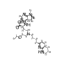 CCOCCN(CCCCc1ccc2c(n1)NCCC2)CC[C@H](Nc1ncnc2c1cnn2C)C(=O)O